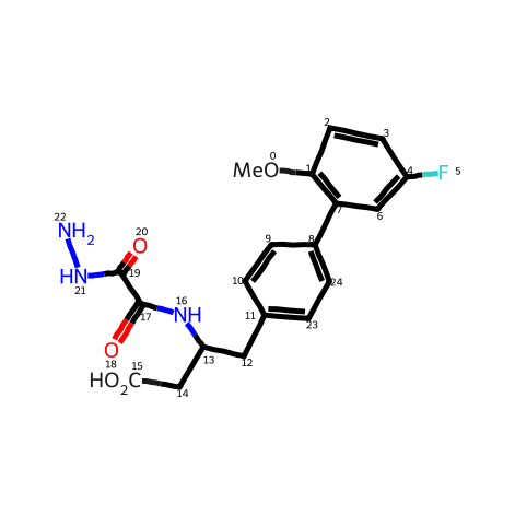 COc1ccc(F)cc1-c1ccc(CC(CC(=O)O)NC(=O)C(=O)NN)cc1